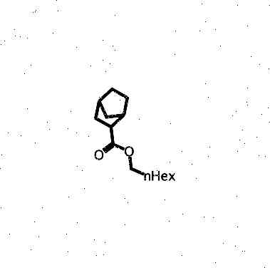 CCCCCCCOC(=O)C1CC2CCC1C2